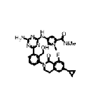 CNC(=O)c1cc(Nc2nc(N)nc(-c3cccc(N4CCc5cc(C6CC6)cc(F)c5C4=O)c3CO)n2)cn1C